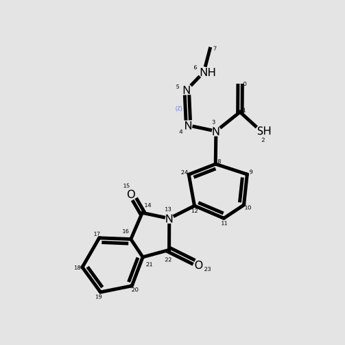 C=C(S)N(/N=N\NC)c1cccc(N2C(=O)c3ccccc3C2=O)c1